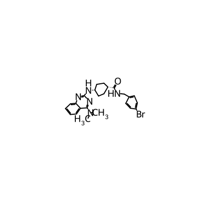 CN(C)c1nc(N[C@H]2CC[C@@H](C(=O)NCc3ccc(Br)cc3)CC2)nc2ccccc12